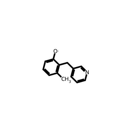 Cc1cccc([O])c1Cc1cccnc1